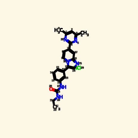 Cc1cc(C)nc(-c2ccn3c(-c4cccc(NC(=O)NCC(F)(F)F)c4)cnc3c2)n1.Cl